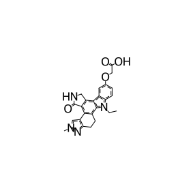 CCn1c2ccc(OCC(=O)O)cc2c2c3c(c4c(c21)CCc1nn(C)cc1-4)C(=O)NC3